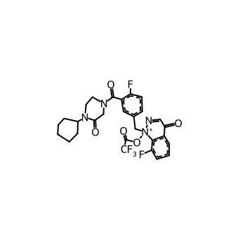 O=C1C=N[N+](Cc2ccc(F)c(C(=O)N3CCN(C4CCCCC4)C(=O)C3)c2)(OC(=O)C(F)(F)F)c2c(F)cccc21